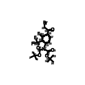 CC(C)(C)OC(=O)N(C(=O)OC(C)(C)C)c1ccc(C(=O)CBr)c(F)c1C(F)(F)F